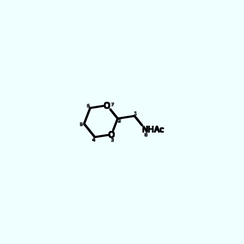 CC(=O)NCC1OCCCO1